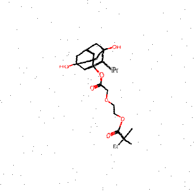 CCC(C)(C)C(=O)OCCOCC(=O)OC12CC3CC(O)(CC(O)(C3)C1C(C)C)C2